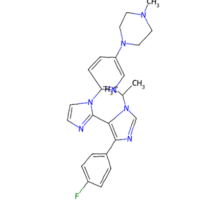 CC(C)n1cnc(-c2ccc(F)cc2)c1-c1nccn1-c1ccc(N2CCN(C)CC2)cn1